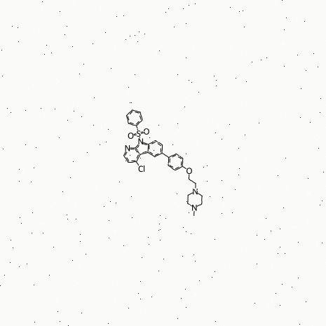 CN1CCN(CCOc2ccc(-c3ccc4c(c3)c3c(Cl)ccnc3n4S(=O)(=O)c3ccccc3)cc2)CC1